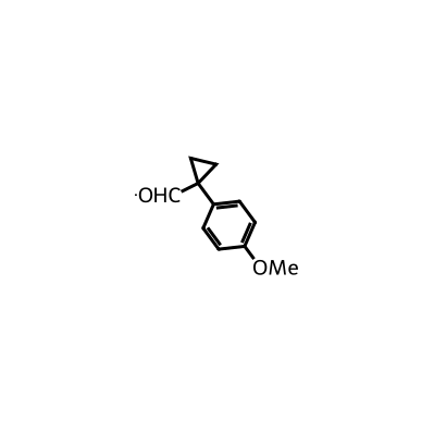 COc1ccc(C2([C]=O)CC2)cc1